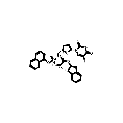 C[C@H](NP(=O)(OC[C@@H]1CC[C@H](n2cc(F)c(=O)[nH]c2=O)O1)Oc1cccc2ccccc12)C(=O)OC1Cc2ccccc2C1